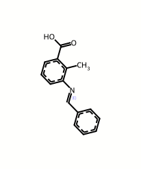 Cc1c(/N=C/c2ccccc2)cccc1C(=O)O